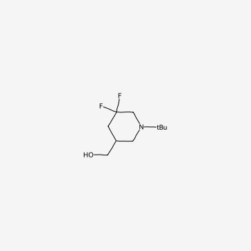 CC(C)(C)N1CC(CO)CC(F)(F)C1